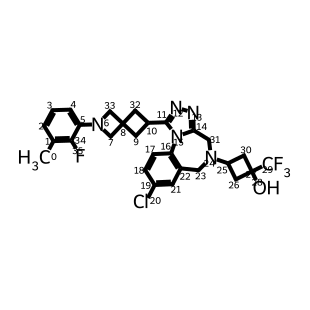 Cc1cccc(N2CC3(CC(c4nnc5n4-c4ccc(Cl)cc4CN(C4CC(O)(C(F)(F)F)C4)C5)C3)C2)c1F